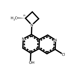 C[C@@H]1CCN1c1ncc(O)c2cc(Cl)ncc12